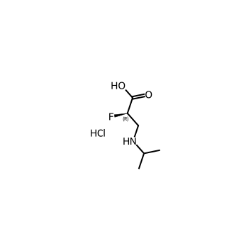 CC(C)NC[C@@H](F)C(=O)O.Cl